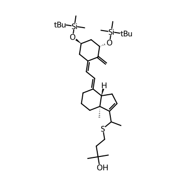 C=C1/C(=C\C=C2/CCC[C@]3(C)C(C(C)SCCC(C)(C)O)=CC[C@@H]23)C[C@@H](O[Si](C)(C)C(C)(C)C)C[C@@H]1O[Si](C)(C)C(C)(C)C